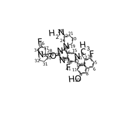 CCc1c(F)ccc2cc(O)cc(-c3ncc4c(N5CCC[C@@H](N)C5)nc(OC[C@@]56CCCN5C[C@H](F)C6)nc4c3F)c12